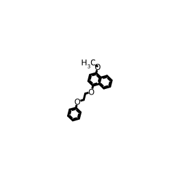 COc1ccc(OCCOc2ccccc2)c2ccccc12